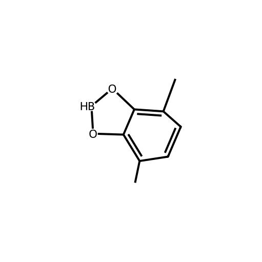 Cc1ccc(C)c2c1OBO2